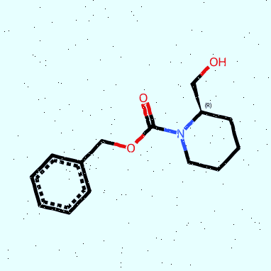 O=C(OCc1ccccc1)N1CCCC[C@@H]1CO